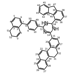 C1=Cc2c(cccc2-c2ccc(C3N=C(c4ccc5c(c4)-c4ccc6ccccc6c4CC5)NC(c4cccc5c4-c4ccccc4C5)N3)cc2)CC1